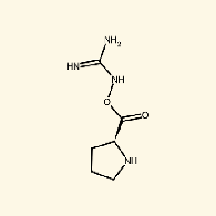 N=C(N)NOC(=O)[C@@H]1CCCN1